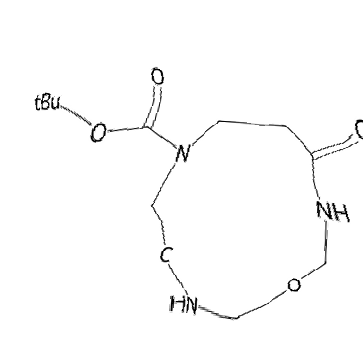 CC(C)(C)OC(=O)N1CCNCOCNC(=O)CC1